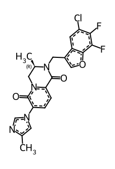 Cc1cn(-c2ccc3n(c2=O)C[C@@H](C)N(Cc2coc4c(F)c(F)c(Cl)cc24)C3=O)cn1